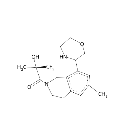 Cc1cc2c(c(C3COCCN3)c1)CN(C(=O)[C@](C)(O)C(F)(F)F)CC2